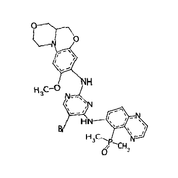 COc1cc2c(cc1Nc1ncc(Br)c(Nc3ccc4nccnc4c3P(C)(C)=O)n1)OCC1COCCN21